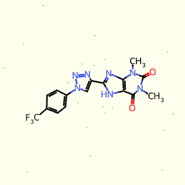 Cn1c(=O)c2[nH]c(-c3cn(-c4ccc(C(F)(F)F)cc4)nn3)nc2n(C)c1=O